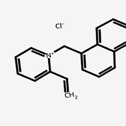 C=Cc1cccc[n+]1Cc1cccc2ccccc12.[Cl-]